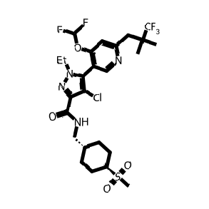 CCn1nc(C(=O)NC[C@H]2CC[C@H](S(C)(=O)=O)CC2)c(Cl)c1-c1cnc(CC(C)(C)C(F)(F)F)cc1OC(F)F